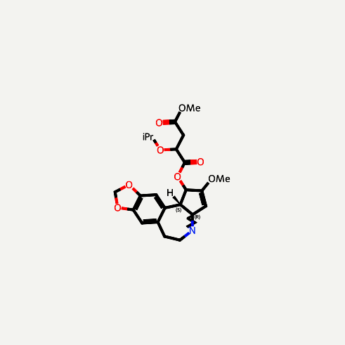 COC(=O)CC(OC(C)C)C(=O)OC1C(OC)=C[C@]23CCCN2CCc2cc4c(cc2[C@H]13)OCO4